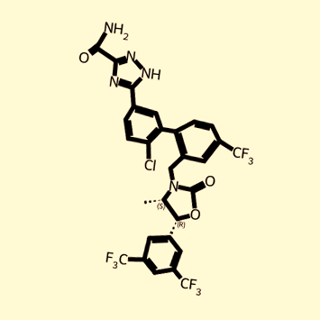 C[C@H]1[C@@H](c2cc(C(F)(F)F)cc(C(F)(F)F)c2)OC(=O)N1Cc1cc(C(F)(F)F)ccc1-c1cc(-c2nc(C(N)=O)n[nH]2)ccc1Cl